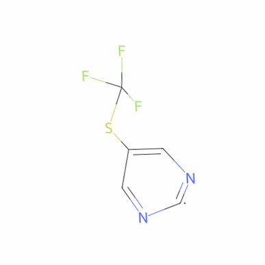 FC(F)(F)Sc1cn[c]nc1